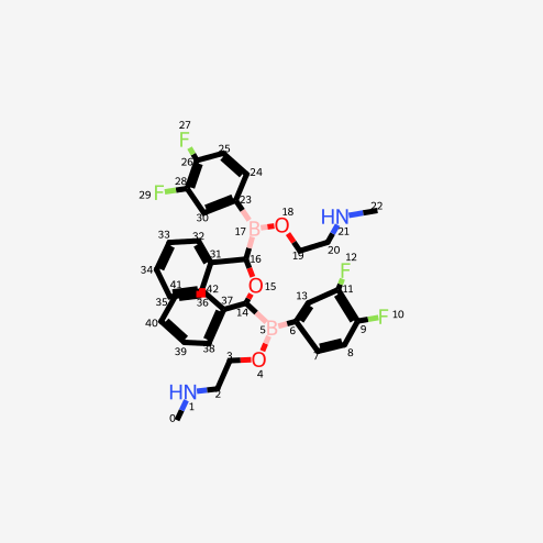 CNCCOB(c1ccc(F)c(F)c1)C(OC(B(OCCNC)c1ccc(F)c(F)c1)c1ccccc1)c1ccccc1